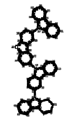 C1=Cc2c(n(-c3ccc4c(c3)c3ccccc3n4-c3ccc4oc5ccc(-n6c7ccccc7c7ccccc76)cc5c4c3)c3ccccc23)CC1